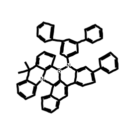 CC1(C)c2ccccc2N2c3c(cccc31)B1c3c(cc4ccccc4c32)-c2ccc(-c3ccccc3)cc2N1c1cc(-c2ccccc2)cc(-c2ccccc2)c1